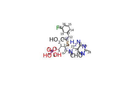 C/C(=C(\CCOP(=O)(O)O)S/C(=C/c1cccc(F)c1)C(=O)O)N(C=O)Cc1cnc(C)nc1N